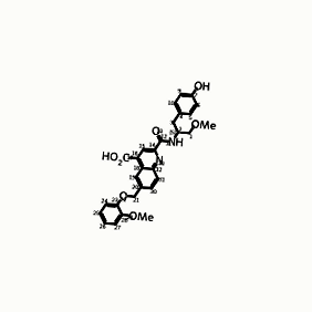 COC[C@H](Cc1ccc(O)cc1)NC(=O)c1cc(C(=O)O)c2cc(COc3ccccc3OC)ccc2n1